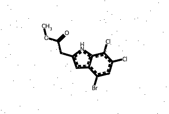 COC(=O)Cc1cc2c(Br)cc(Cl)c(Cl)c2[nH]1